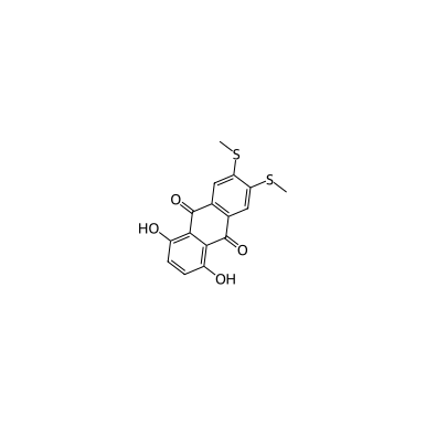 CSc1cc2c(cc1SC)C(=O)c1c(O)ccc(O)c1C2=O